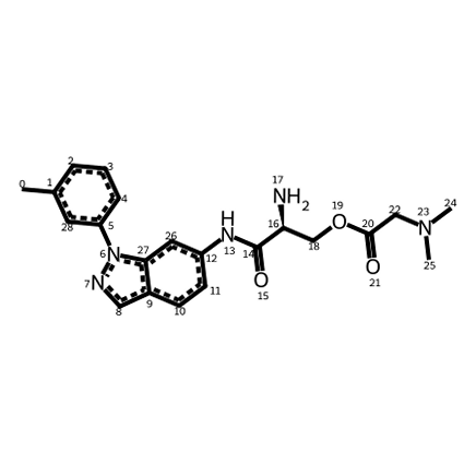 Cc1cccc(-n2ncc3ccc(NC(=O)[C@@H](N)COC(=O)CN(C)C)cc32)c1